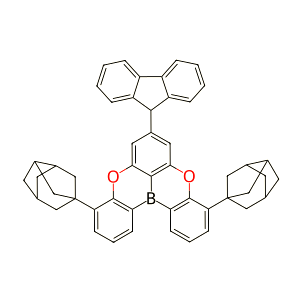 c1ccc2c(c1)-c1ccccc1C2c1cc2c3c(c1)Oc1c(cccc1C14CC5CC(C1)C(C5)C4)B3c1cccc(C34CC5CC(C3)C(C5)C4)c1O2